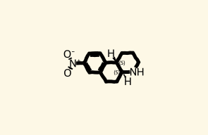 O=[N+]([O-])c1ccc2c(c1)CC[C@@H]1NCCC[C@@H]21